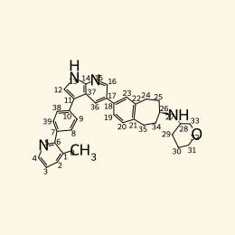 Cc1cccnc1-c1ccc(-c2c[nH]c3ncc(-c4ccc5c(c4)CC[C@@H](N[C@H]4CCCOC4)CC5)cc23)cc1